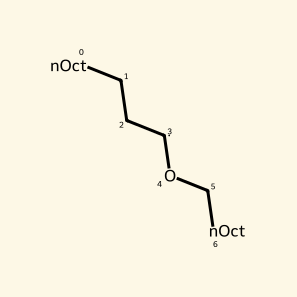 CCCCCCCCCC[CH]OCCCCCCCCC